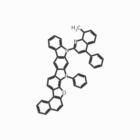 CC1C=CC=C2C(c3ccccc3)=CC(n3c4ccccc4c4cc5c6ccc7c(oc8ccc9ccccc9c87)c6n(-c6ccccc6)c5cc43)=NC21